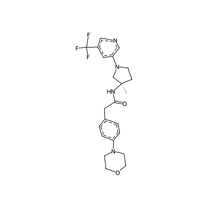 C[C@@]1(NC(=O)Cc2ccc(N3CCOCC3)cc2)CCN(c2cncc(C(F)(F)F)c2)C1